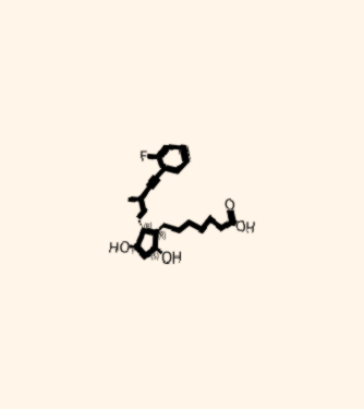 CC(C#Cc1ccccc1F)CC[C@@H]1[C@@H](CCCCCCC(=O)O)[C@@H](O)C[C@H]1O